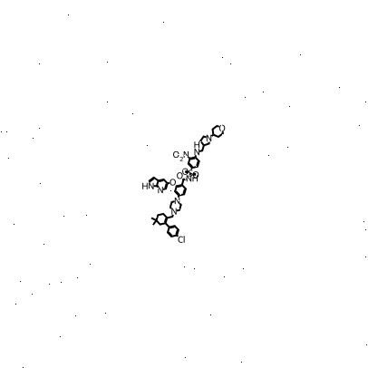 CC1(C)CCC(CN2CCN(c3ccc(C(=O)NS(=O)(=O)c4ccc(NCC5CCN(C6CCOCC6)C5)c([N+](=O)[O-])c4)c(Oc4cnc5[nH]ccc5c4)c3)CC2)=C(c2ccc(Cl)cc2)C1